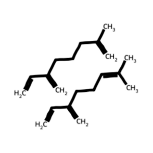 C=CC(=C)CCC=C(C)C.C=CC(=C)CCCC(=C)C